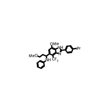 COCCC(Nc1ccccc1)c1cc(OC)c2[nH]c(-c3ccc(C(C)C)cc3)nc2c1C(F)(F)F